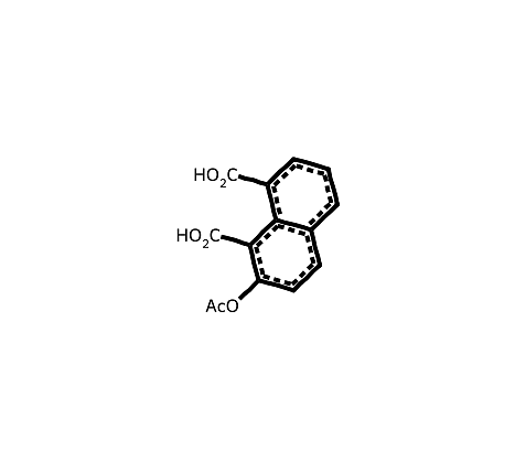 CC(=O)Oc1ccc2cccc(C(=O)O)c2c1C(=O)O